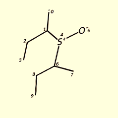 [CH2]C(CC)[S+]([O-])C(C)CC